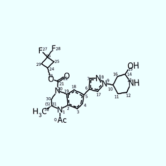 CC(=O)N1c2ccc(-c3cnn(C4CCNC(O)C4)c3)cc2N(C(=O)OC2CC(F)(F)C2)C[C@@H]1C